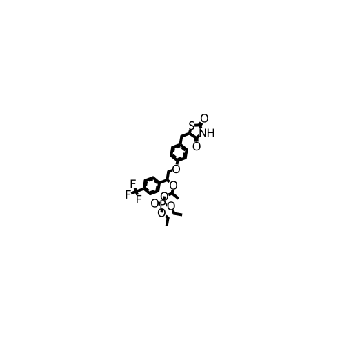 CCOP(=O)(OCC)OC(C)OC(COc1ccc(CC2SC(=O)NC2=O)cc1)c1ccc(C(F)(F)F)cc1